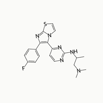 CC(CN(C)C)Nc1nccc(-c2c(-c3ccc(F)cc3)nc3sccn23)n1